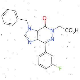 O=C(O)Cn1nc(-c2cccc(F)c2)c2ncn(Cc3ccccc3)c2c1=O